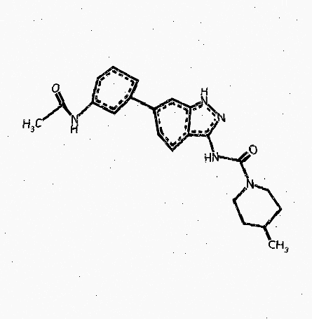 CC(=O)Nc1cccc(-c2ccc3c(NC(=O)N4CCC(C)CC4)n[nH]c3c2)c1